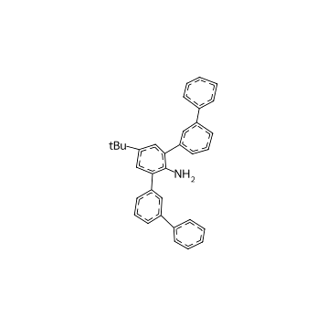 CC(C)(C)c1cc(-c2cccc(-c3ccccc3)c2)c(N)c(-c2cccc(-c3ccccc3)c2)c1